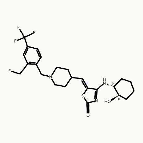 O=C1N=C(N[C@@H]2CCCC[C@H]2O)/C(=C/C2CCN(Cc3ccc(C(F)(F)F)cc3CF)CC2)S1